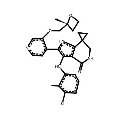 Cc1c(Cl)cccc1Nc1c(-c2ccncc2OC[C@@]2(C)CCO2)[nH]c2c1C(=O)NCC21CC1